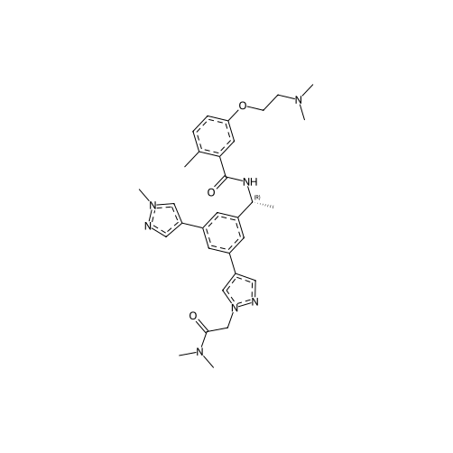 Cc1ccc(OCCN(C)C)cc1C(=O)N[C@H](C)c1cc(-c2cnn(C)c2)cc(-c2cnn(CC(=O)N(C)C)c2)c1